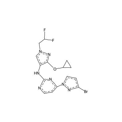 FC(F)Cn1cc(Nc2nccc(-n3ccc(Br)n3)n2)c(OC2CC2)n1